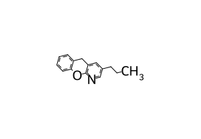 CCCc1cnc2c(c1)Cc1ccccc1O2